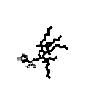 CCCCCCC(C)(CCCCCC)C1OC(COP(=O)(O)c2c[nH]nn2)C(C(C)(CCC)CCCCC)C1C(C)(CC)CCCCCC